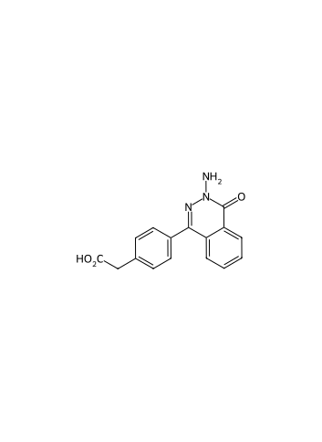 Nn1nc(-c2ccc(CC(=O)O)cc2)c2ccccc2c1=O